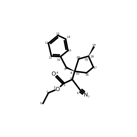 CCOC(=O)C(C#N)[C@@]1(Cc2ccccc2)CC[C@H](C)C1